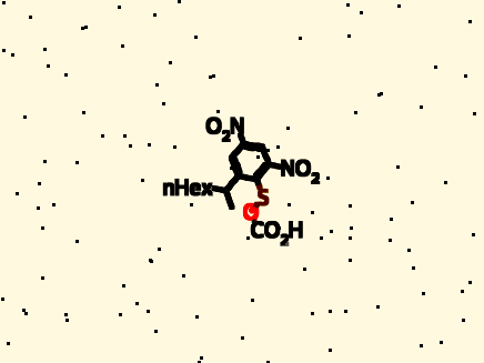 CCCCCCC(C)c1cc([N+](=O)[O-])cc([N+](=O)[O-])c1SOC(=O)O